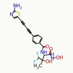 CC(O)(C(F)F)[C@H](NC(=O)c1ccc(C#CC#Cc2cnc(N)s2)cc1)C(=O)NO